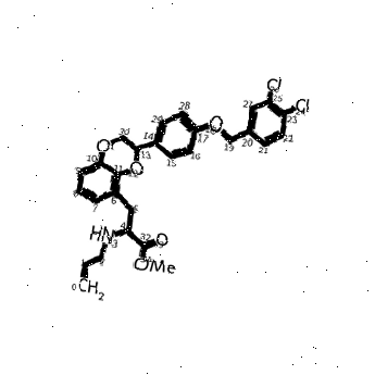 C=CCNC(Cc1cccc2c1OC(c1ccc(OCc3ccc(Cl)c(Cl)c3)cc1)CO2)C(=O)OC